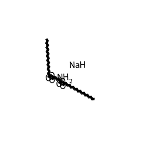 CCCCCCCCCCCCCCCCCC(=O)OC(=O)CC[C@H](N)C(=O)OC(=O)CCCCCCCCCCCCCCCCC.[NaH]